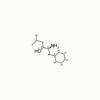 CC(C)C[C@H](O)[C@@H](N)CC1CCCCC1